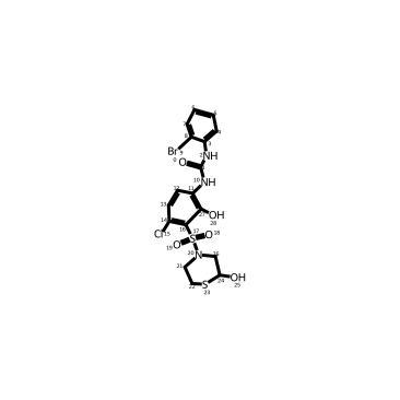 O=C(Nc1ccccc1Br)Nc1ccc(Cl)c(S(=O)(=O)N2CCSC(O)C2)c1O